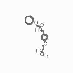 CNCCOc1ccc(CNC(=O)COC2/C=C\CCCCC2)cc1